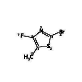 Cc1sc(Br)nc1F